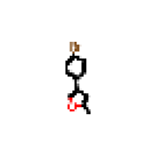 Cc1cc(-c2ccc(Br)cc2)co1